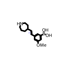 COc1cc(/C=C/C2CCCNCC2)cc(B(O)O)c1